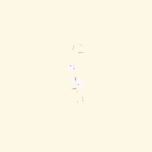 O=C(N[C@H]1CCN(CCc2ccccc2)C1)C1C2=CC=C1CC2